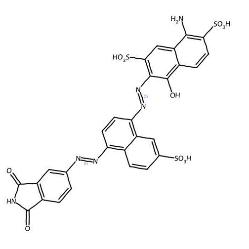 Nc1c(S(=O)(=O)O)ccc2c(O)c(/N=N/c3ccc(/N=N/c4ccc5c(c4)C(=O)NC5=O)c4ccc(S(=O)(=O)O)cc34)c(S(=O)(=O)O)cc12